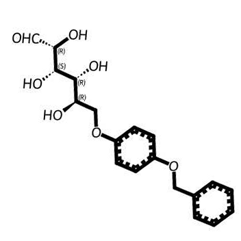 O=C[C@H](O)[C@@H](O)[C@H](O)[C@H](O)COc1ccc(OCc2ccccc2)cc1